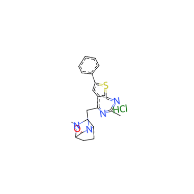 Cc1nc(CN2C(=O)C3CCC2CN3C)c2cc(-c3ccccc3)sc2n1.Cl